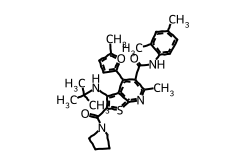 Cc1ccc(NC(=O)c2c(C)nc3sc(C(=O)N4CCCC4)c(NC(C)(C)C)c3c2-c2ccc(C)o2)c(C)c1